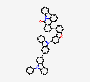 O=c1c2cccc(-c3cccc4oc5ccc(-n6c7ccccc7c7cc(-c8ccc9c(c8)c8ccccc8n9-c8ccccc8)ccc76)cc5c34)c2c2cccc3c4ccccc4n1c32